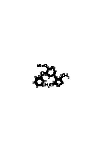 COc1ncc(C2=C(C)CN=C2C)cc1Oc1ccccc1